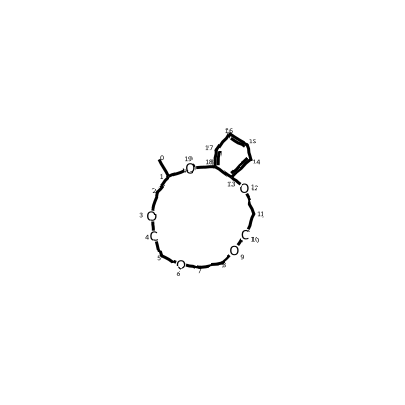 CC1COCCOCCOCCOc2ccccc2O1